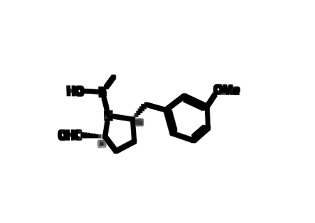 COc1cccc(C[C@@H]2CC[C@H](C=O)N2B(C)O)c1